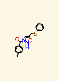 Cc1ccc(C(=O)N2C=C(CSc3ccccc3)ON2)cc1